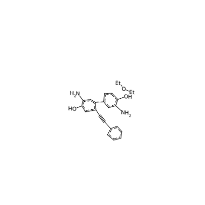 CCOCC.Nc1cc(-c2cc(N)c(O)cc2C#Cc2ccccc2)ccc1O